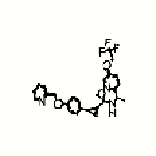 C[C@@H](NC(=O)C1CC1c1ccc(OCc2ccccn2)cc1)c1ccc(OCC(F)(F)F)cn1